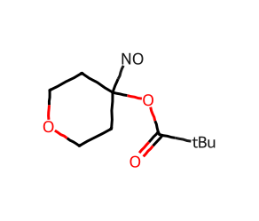 [CH2]C([CH2])(C)C(=O)OC1(N=O)CCOCC1